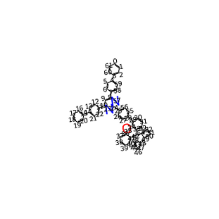 c1ccc(-c2ccc(-c3cc(-c4ccc(-c5ccccc5)cc4)nc(-c4ccc(-c5cccc6c5Oc5ccccc5C65c6ccccc6-c6ccccc65)cc4)n3)cc2)cc1